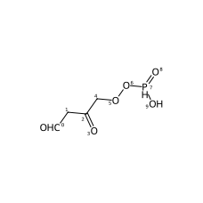 O=CCC(=O)COO[PH](=O)O